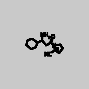 N#C[C@@H]1CCCN1C(=O)CC(N)C1CCCCC1